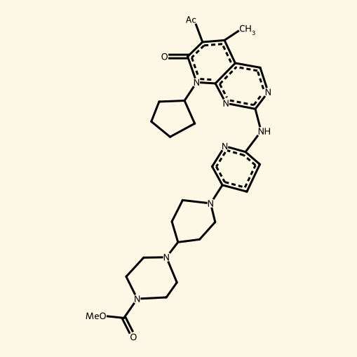 COC(=O)N1CCN(C2CCN(c3ccc(Nc4ncc5c(C)c(C(C)=O)c(=O)n(C6CCCC6)c5n4)nc3)CC2)CC1